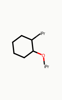 CC(C)OC1CCCCC1C(C)C